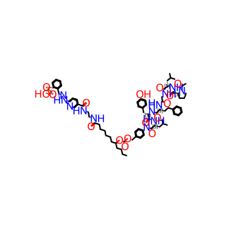 CCCCC(CCCCCCC(=O)NCCNC(=O)c1ccc(N/N=C/c2ccccc2S(=O)(=O)O)nc1)OC(=O)OCc1ccc(NC(=O)[C@H](CC(C)C)NC(=O)[C@H](Cc2ccc(O)cc2)NC(=O)[C@H](CCc2ccccc2)NC(=O)CNC(=O)[C@H](CC(C)C)NC(=O)[C@@H]2CCCN2C(C)=O)cc1